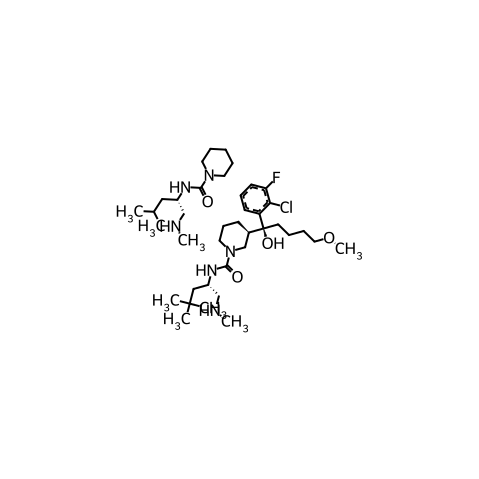 CNC[C@H](CC(C)(C)C)NC(=O)N1CCC[C@@H]([C@@](O)(CCCCOC)c2cccc(F)c2Cl)C1.CNC[C@H](CC(C)C)NC(=O)N1CCCCC1